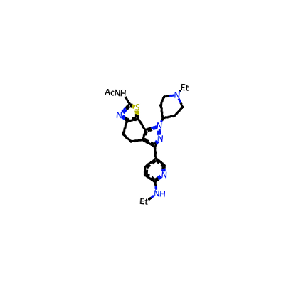 CCNc1ccc(-c2nn(C3CCN(CC)CC3)c3c2CCc2nc(NC(C)=O)sc2-3)cn1